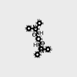 O=C(Nc1cc(-c2ccccc2)nc(-c2ccccc2)c1)C1CCC(C(=O)Nc2cc(-c3ccccc3)nc(-c3ccccc3)c2)CC1